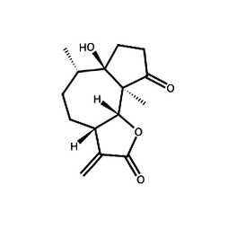 C=C1C(=O)O[C@@H]2[C@H]1CC[C@H](C)[C@]1(O)CCC(=O)[C@@]21C